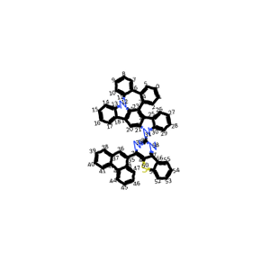 c1ccc2c(c1)-c1ccccc1-n1c3ccccc3c3cc4c(c-2c31)c1ccccc1n4-c1nc(-c2cc3ccccc3c3ccccc23)c2sc3ccccc3c2n1